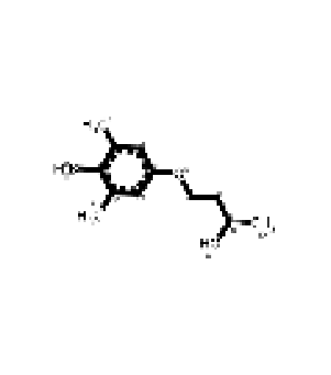 Bc1c(C)cc(OCC[C@@H](C)O)cc1C